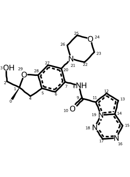 C[C@]1(CO)Cc2cc(NC(=O)c3ccc4cncnn34)c(N3CCOCC3)cc2O1